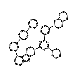 c1ccc(-c2ccc(-c3cccc(-c4cccc5oc6cc(-c7nc(-c8ccccc8)nc(-c8cccc(-c9ccc%10ccccc%10c9)c8)n7)ccc6c45)c3)cc2)cc1